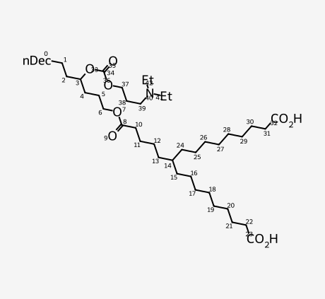 CCCCCCCCCCCCC(CCCOC(=O)CCCCC(CCCCCCCCC(=O)O)CCCCCCCCC(=O)O)OC(=O)OCCCN(CC)CC